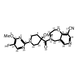 COc1nc(N2CCC(OC)(C(=O)N3CCOc4c(C#N)cncc4C3)CC2)ncc1F